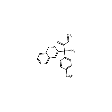 C=CC(=O)C(N)(c1ccc(C(=O)O)cc1)c1ccc2ccccc2c1